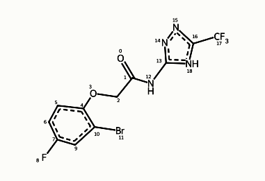 O=C(COc1ccc(F)cc1Br)Nc1nnc(C(F)(F)F)[nH]1